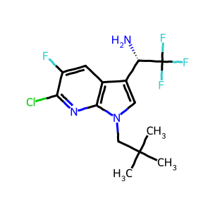 CC(C)(C)Cn1cc([C@H](N)C(F)(F)F)c2cc(F)c(Cl)nc21